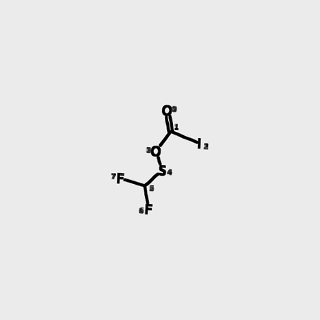 O=C(I)OSC(F)F